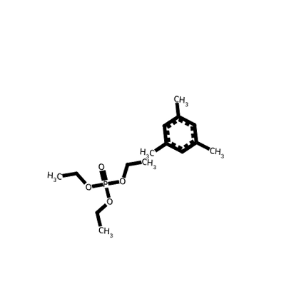 CCOP(=O)(OCC)OCC.Cc1cc(C)cc(C)c1